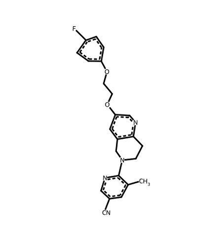 Cc1cc(C#N)cnc1N1CCc2ncc(OCCOc3ccc(F)cc3)cc2C1